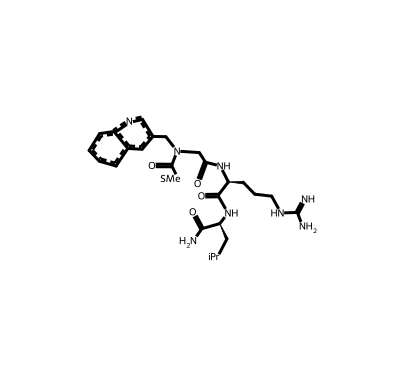 CSC(=O)N(CC(=O)N[C@@H](CCCNC(=N)N)C(=O)N[C@@H](CC(C)C)C(N)=O)Cc1cnc2ccccc2c1